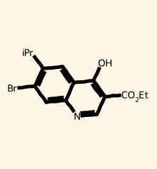 CCOC(=O)c1cnc2cc(Br)c(C(C)C)cc2c1O